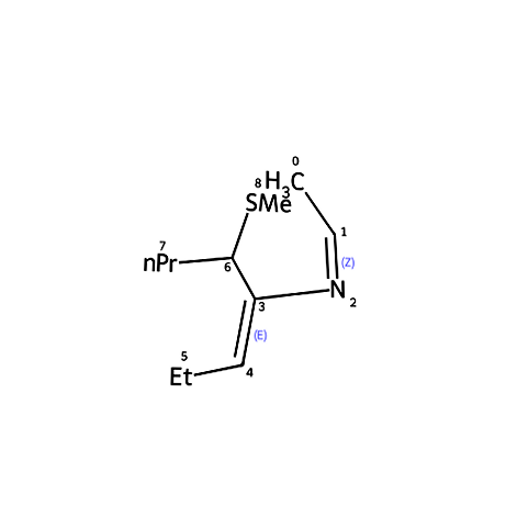 C/C=N\C(=C\CC)C(CCC)SC